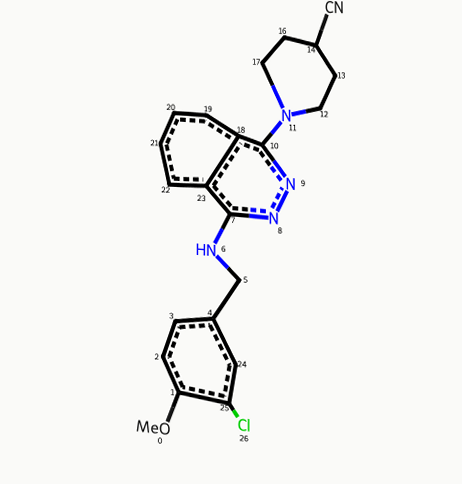 COc1ccc(CNc2nnc(N3CCC(C#N)CC3)c3ccccc23)cc1Cl